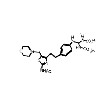 CC(=O)Nc1nc(CCc2ccc(NC(NC(=O)O)NC(=O)O)cc2)c(CN2CCOCC2)s1